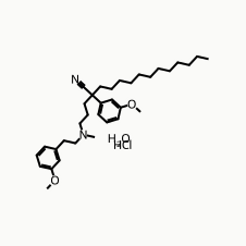 CCCCCCCCCCCCC(C#N)(CCCN(C)CCc1cccc(OC)c1)c1cccc(OC)c1.Cl.O